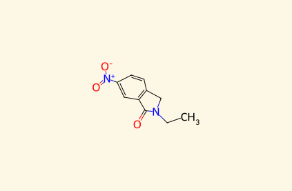 CCN1Cc2ccc([N+](=O)[O-])cc2C1=O